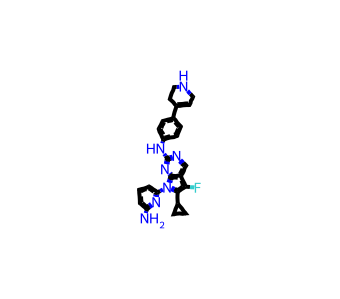 Nc1cccc(-n2c(C3CC3)c(F)c3cnc(Nc4ccc(C5=CCNCC5)cc4)nc32)n1